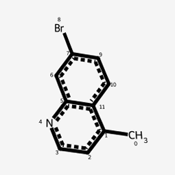 Cc1ccnc2cc(Br)ccc12